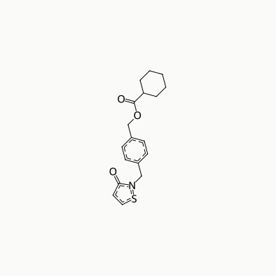 O=C(OCc1ccc(Cn2sccc2=O)cc1)C1CCCCC1